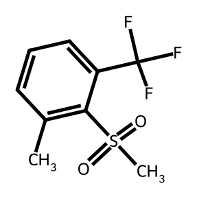 Cc1cccc(C(F)(F)F)c1S(C)(=O)=O